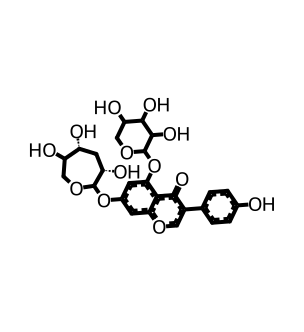 O=c1c(-c2ccc(O)cc2)coc2cc(OC3OCC(O)[C@H](O)C[C@@H]3O)cc(OC3OCC(O)C(O)C3O)c12